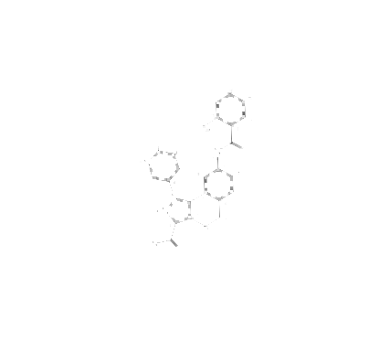 NC(=O)c1nn(-c2cccnc2)c2c1CCc1ccc(NC(=O)c3ccccc3Cl)cc1-2